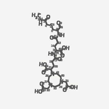 CNC(=O)CSC[C@@H](C=O)NC(=O)CC[C@H](NC(=O)CCC(C(=O)O)N1CCN(CC(=O)O)CCN(CC(=O)O)CC1)C(=O)O